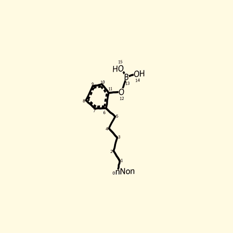 CCCCCCCCCCCCCCc1ccccc1OB(O)O